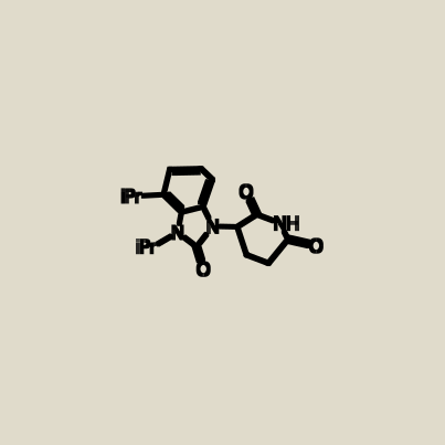 CC(C)c1cccc2c1n(C(C)C)c(=O)n2C1CCC(=O)NC1=O